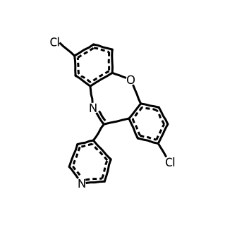 Clc1ccc2c(c1)N=C(c1ccncc1)c1cc(Cl)ccc1O2